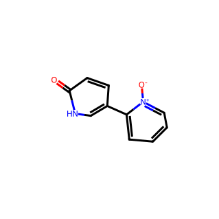 O=c1ccc(-c2cccc[n+]2[O-])c[nH]1